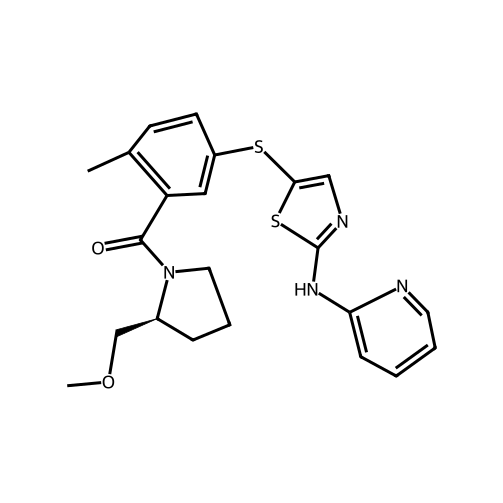 COC[C@@H]1CCCN1C(=O)c1cc(Sc2cnc(Nc3ccccn3)s2)ccc1C